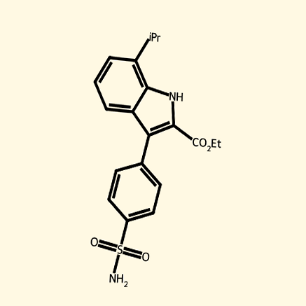 CCOC(=O)c1[nH]c2c(C(C)C)cccc2c1-c1ccc(S(N)(=O)=O)cc1